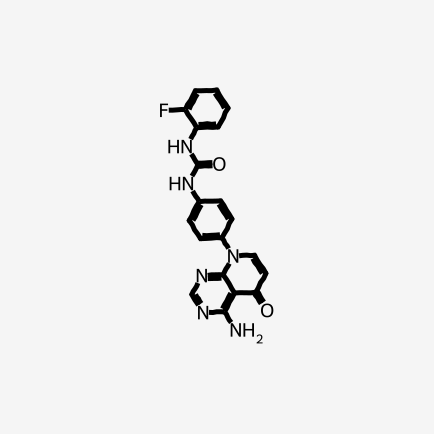 Nc1ncnc2c1c(=O)ccn2-c1ccc(NC(=O)Nc2ccccc2F)cc1